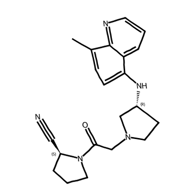 Cc1ccc(N[C@@H]2CCN(CC(=O)N3CCC[C@H]3C#N)C2)c2cccnc12